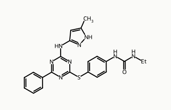 CCNC(=O)Nc1ccc(Sc2nc(Nc3cc(C)[nH]n3)nc(-c3ccccc3)n2)cc1